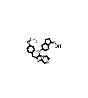 COc1ccc(Cc2nc3cnccn3c2Nc2ccc3c(c2)CC/C3=N/O)cc1